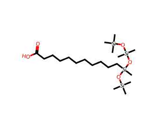 C[Si](C)(C)O[Si](C)(C)O[Si](C)(CCCCCCCCCCC(=O)O)O[Si](C)(C)C